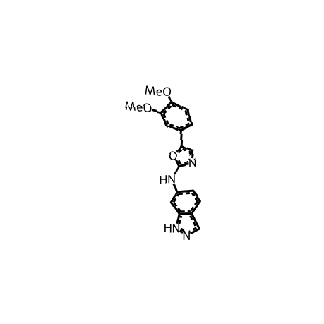 COc1ccc(-c2cnc(Nc3ccc4cn[nH]c4c3)o2)cc1OC